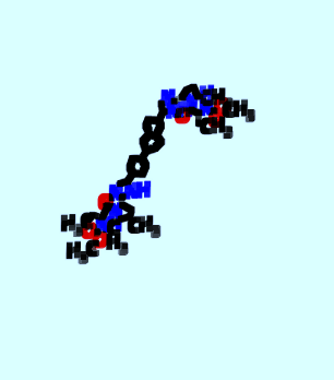 CC[C@H](NC(=O)OC)C(=O)N1C(C)[C@H](C)C[C@H]1C1=NCC(c2ccc(-c3ccc4cc(C5CN=C([C@@H]6CC[C@@H](C)N6C(=O)[C@H](CC)NC(=O)OC)N5)ccc4c3)cc2)N1